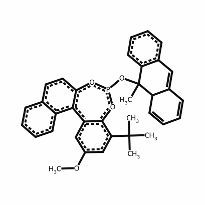 COc1cc(C(C)(C)C)c2op(OC3(C)c4ccccc4C=C4C=CC=CC43)oc3ccc4ccccc4c3c2c1